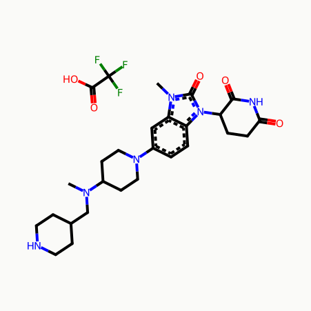 CN(CC1CCNCC1)C1CCN(c2ccc3c(c2)n(C)c(=O)n3C2CCC(=O)NC2=O)CC1.O=C(O)C(F)(F)F